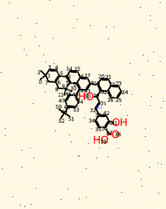 CC1(C)C=CC2=C(C1)CC(C)(C)c1c2ccc2cc(-c3ccc4ccccc4c3C(O)/C=C/c3ccc(C(=O)O)c(O)c3)cc(-c3ccc(C(C)(C)C)cc3)c12